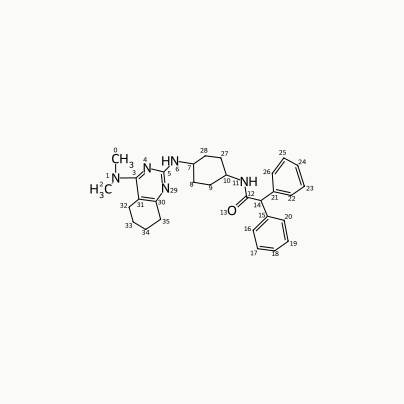 CN(C)c1nc(NC2CCC(NC(=O)C(c3ccccc3)c3ccccc3)CC2)nc2c1CCCC2